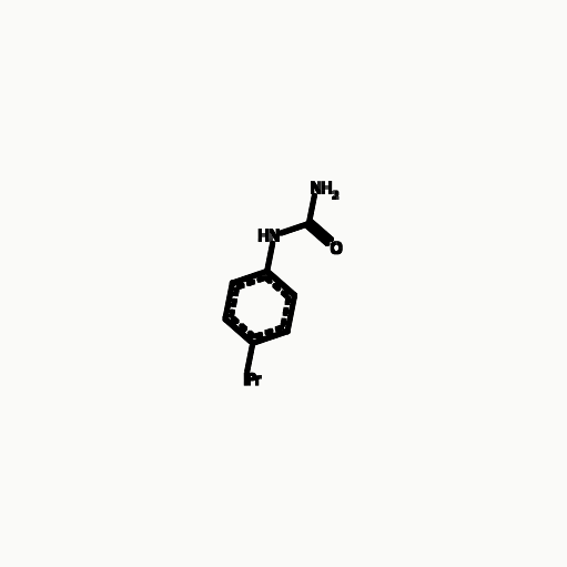 CC(C)c1ccc(NC(N)=O)cc1